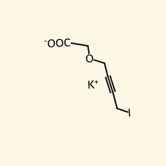 O=C([O-])COCC#CCI.[K+]